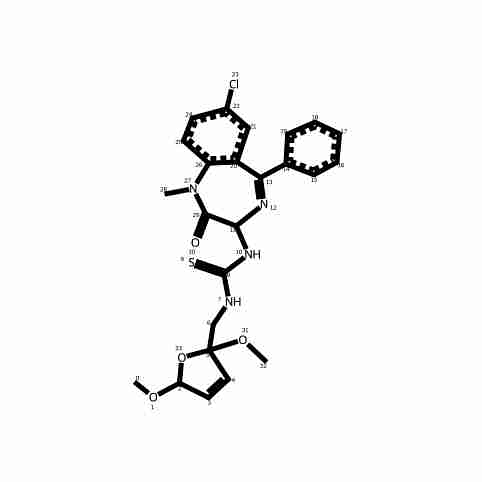 COC1C=CC(CNC(=S)NC2N=C(c3ccccc3)c3cc(Cl)ccc3N(C)C2=O)(OC)O1